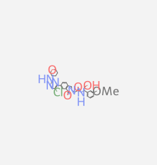 COc1cccc(C(CO)NC(=O)CN2Cc3ccc(-c4nc(N[C@H]5CCCOC5)ncc4Cl)cc3C2=O)c1